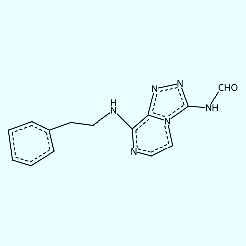 O=CNc1nnc2c(NCCc3ccccc3)nccn12